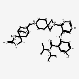 CC(C)N(C(=O)c1cc(F)ccc1Oc1cncnc1N1CC2(CCN(CC3CC4CCC3CC43COC(=O)N3)CC2)C1)C(C)C